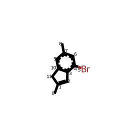 CC1=Cc2c(Br)cc(C)cc2C1